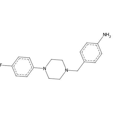 Nc1ccc(CN2CCN(c3ccc(F)cc3)CC2)cc1